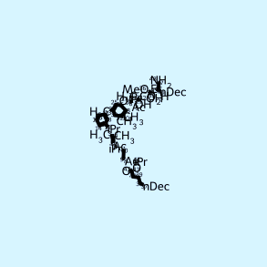 CC(=O)C=C(C)C.CC(=O)CC(C)C.CC(=O)CCC(C)C.CC(C)c1ccccc1.CC(O)C(=O)O.CC1=CC(=O)CC(C)(C)C1.CCC(O)OC.CCCCCCCCCCCCCC(=O)OC(C)C.CCCCCCCCCCCCN